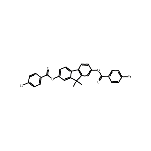 CCc1ccc(C(=O)Oc2ccc3c(c2)C(C)(C)c2cc(OC(=O)c4ccc(CC)cc4)ccc2-3)cc1